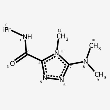 CC(C)NC(=O)c1nnc(N(C)C)n1C